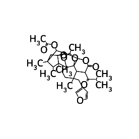 CC(=O)OC1C2C3OC(=O)C(C(=O)C(C)C)C4C(C)(Cc5ccoc5)CCC56OC(C)(OC27CC1(C)C(C)C75C)OC346